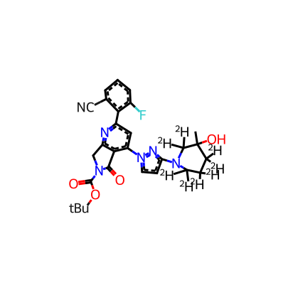 [2H]C1([2H])N(c2ccn(-c3cc(-c4c(F)cccc4C#N)nc4c3C(=O)N(C(=O)OC(C)(C)C)C4)n2)C([2H])([2H])C(C)(O)C([2H])([2H])C1([2H])[2H]